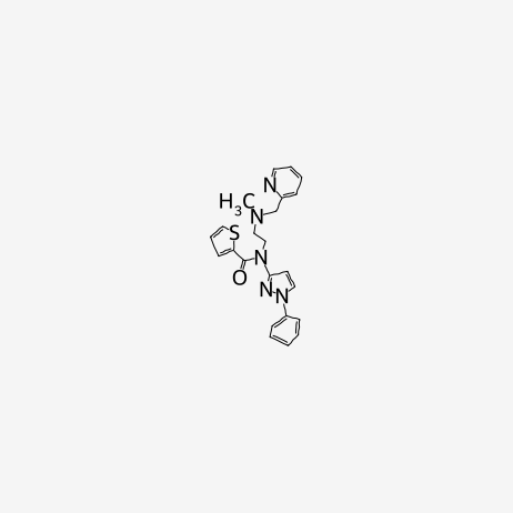 CN(CCN(C(=O)c1cccs1)c1ccn(-c2ccccc2)n1)Cc1ccccn1